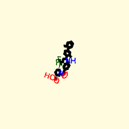 Cc1ccccc1-c1ccc(C(CCC(F)(F)F)Nc2ccc(C(=O)N3CCC[C@@H](C(=O)O)C3)cc2)c(C)c1